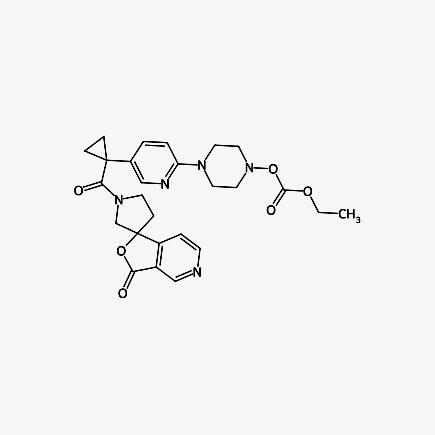 CCOC(=O)ON1CCN(c2ccc(C3(C(=O)N4CCC5(C4)OC(=O)c4cnccc45)CC3)cn2)CC1